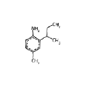 CCC(C)c1cc(C)ccc1N